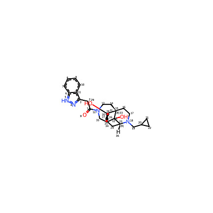 O=C(Cc1n[nH]c2ccccc12)N1CC[C@]23CCN(CC4CC4)[C@H](Cc4ccc(O)cc42)[C@]3(O)CC1